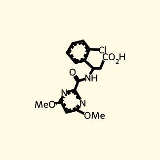 COc1cc(OC)nc(C(=O)NC(CC(=O)O)c2ccccc2Cl)n1